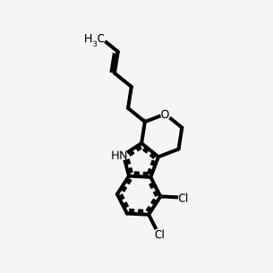 C/C=C/CC[C]1OCCc2c1[nH]c1ccc(Cl)c(Cl)c21